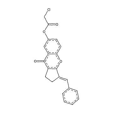 O=C(CCl)Oc1ccc2oc3c(c(=O)c2c1)CCC3=Cc1ccccc1